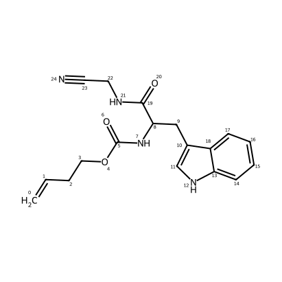 C=CCCOC(=O)NC(Cc1c[nH]c2ccccc12)C(=O)NCC#N